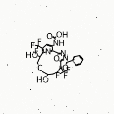 O=C(O)Nc1cc(C(F)(F)F)c2nc1-c1nnc(o1)[C@@](OCc1ccccc1)(C(F)(F)F)CCC(O)CCCC2O